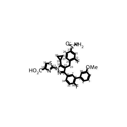 COc1cccc(-c2cc(-c3nn(-c4nc(C(=O)O)cs4)c(C4CC4)c3Cc3ccc([S+](N)[O-])cc3F)ccc2F)c1